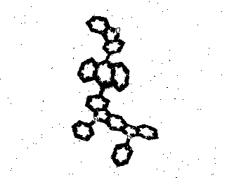 c1ccc(-n2c3ccccc3c3cc4c5cc(-c6c7ccccc7c(-c7ccc8oc9ccccc9c8c7)c7ccccc67)ccc5n(-c5ccccc5)c4cc32)cc1